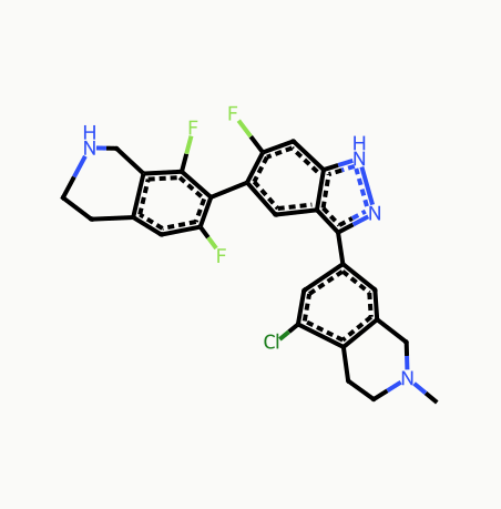 CN1CCc2c(Cl)cc(-c3n[nH]c4cc(F)c(-c5c(F)cc6c(c5F)CNCC6)cc34)cc2C1